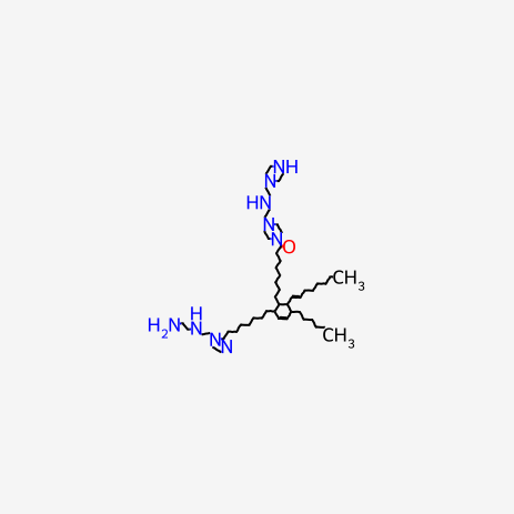 CCCCCC/C=C/C1C(CCCCCC)C=CC(CCCCCCCC2=NCCN2CCNCCN)C1CCCCCCCC(=O)N1CCN(CCNCCN2CCNCC2)CC1